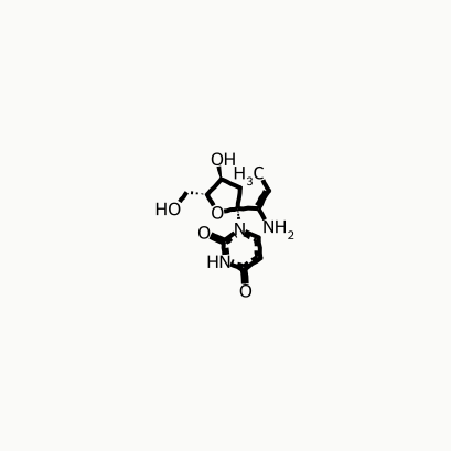 C/C=C(/N)[C@]1(n2ccc(=O)[nH]c2=O)C[C@H](O)[C@@H](CO)O1